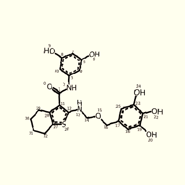 O=C(Nc1cc(O)cc(O)c1)c1c(NCOCc2cc(O)c(O)c(O)c2)sc2c1CCCC2